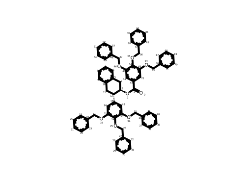 O=C(O[C@@H]1Cc2ccccc2C[C@H]1c1cc(OCc2ccccc2)c(OCc2ccccc2)c(OCc2ccccc2)c1)c1cc(OCc2ccccc2)c(OCc2ccccc2)c(OCc2ccccc2)c1